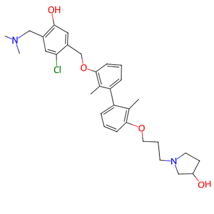 Cc1c(OCCCN2CCC(O)C2)cccc1-c1cccc(OCc2cc(O)c(CN(C)C)cc2Cl)c1C